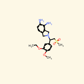 CCOc1cc(C(CS(C)(=O)=O)N2Cc3ccc(N)c(N)c3C2)ccc1OC